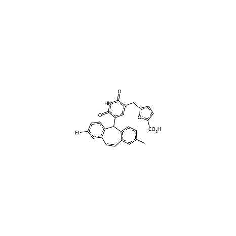 CCc1ccc2c(c1)C=Cc1cc(C)ccc1C2c1cn(Cc2ccc(C(=O)O)o2)c(=O)[nH]c1=O